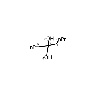 CCC[CH]C(O)(O)CCC